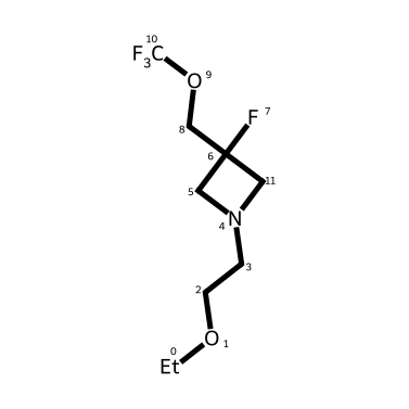 CCOCCN1CC(F)(COC(F)(F)F)C1